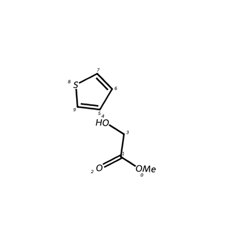 COC(=O)CO.c1ccsc1